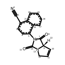 N#Cc1ccc(N2C(=O)[C@@H]3C=CCN3C2=O)c2ccccc12